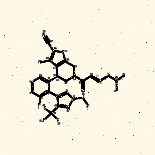 CCn1cc(-c2c(F)cccc2[C@@H]2CN(C(=O)/C=C/CN(C)C)Cc3sc(C#N)c(C)c32)c(C(F)(F)F)n1